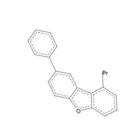 CC(C)c1cccc2oc3ccc(-c4ccccc4)cc3c12